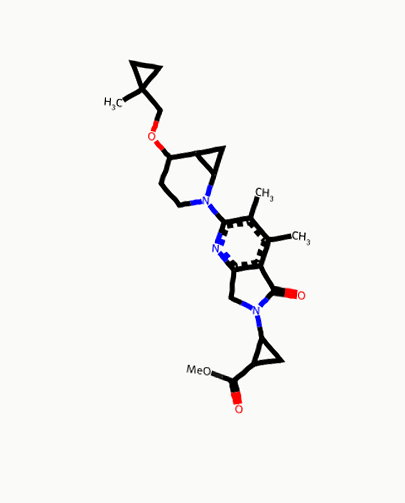 COC(=O)C1CC1N1Cc2nc(N3CCC(OCC4(C)CC4)C4CC43)c(C)c(C)c2C1=O